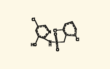 O=S(=O)(Cc1c(Cl)cccc1Cl)Nc1ncc(Cl)cc1O